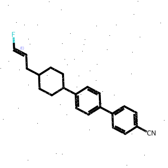 N#Cc1ccc(-c2ccc(C3CCC(C/C=C/F)CC3)cc2)cc1